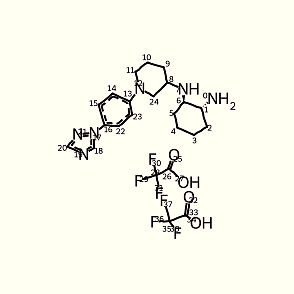 N[C@@H]1CCCC[C@H]1NC1CCCN(c2ccc(-n3cncn3)cc2)C1.O=C(O)C(F)(F)F.O=C(O)C(F)(F)F